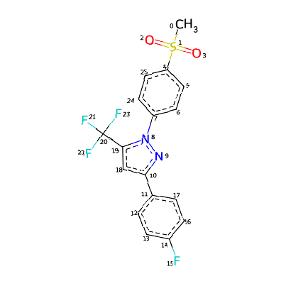 CS(=O)(=O)c1ccc(-n2nc(-c3ccc(F)cc3)cc2C(F)(F)F)cc1